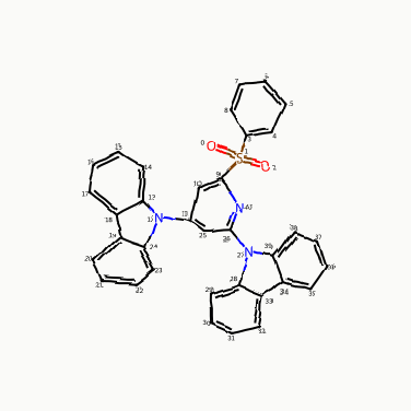 O=S(=O)(c1ccccc1)c1cc(-n2c3ccccc3c3ccccc32)cc(-n2c3ccccc3c3ccccc32)n1